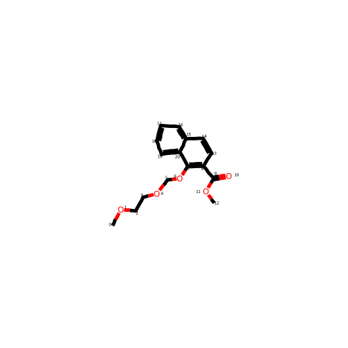 COCCOCOc1c(C(=O)OC)ccc2ccccc12